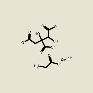 NCC(=O)[O-].O=C([O-])CC(O)(C(=O)[O-])C(O)C(=O)[O-].[Zn+2].[Zn+2]